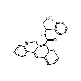 CCC(NC(=O)C1=C(CBr)C(c2ccccc2)=NC2=CC=CCC21)c1ccccc1